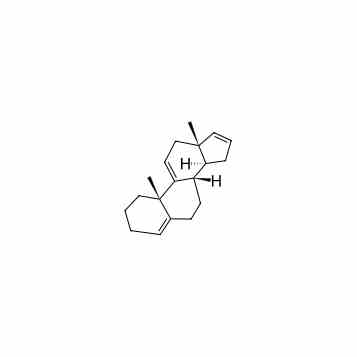 C[C@]12CCCC=C1CC[C@@H]1C2=CC[C@]2(C)C=CC[C@@H]12